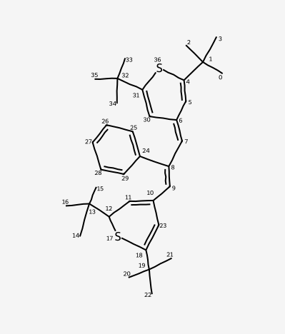 CC(C)(C)C1=CC(=CC(=CC2=CC(C(C)(C)C)SC(C(C)(C)C)=C2)c2ccccc2)C=C(C(C)(C)C)S1